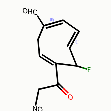 O=C/C1=C/C=C/C(F)C(C(=O)CN=O)=CC1